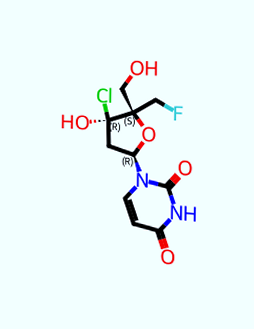 O=c1ccn([C@H]2C[C@@](O)(Cl)[C@](CO)(CF)O2)c(=O)[nH]1